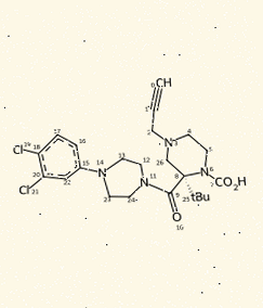 C#CCN1CCN(C(=O)O)[C@](C(=O)N2CCN(c3ccc(Cl)c(Cl)c3)CC2)(C(C)(C)C)C1